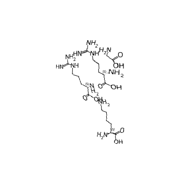 N=C(N)NCCC[C@H](N)C(=O)O.N=C(N)NCCC[C@H](N)C(=O)O.NCC(=O)O.NCCCC[C@H](N)C(=O)O